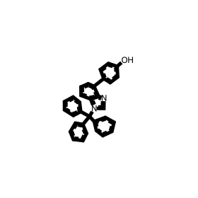 Oc1ccc(-c2cccc3c2ncn3C(c2ccccc2)(c2ccccc2)c2ccccc2)cc1